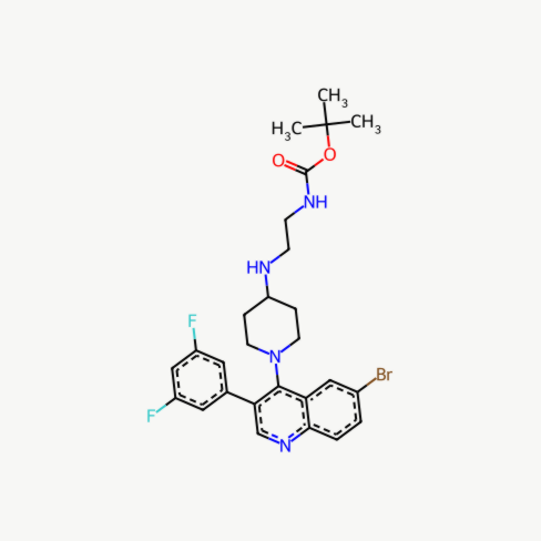 CC(C)(C)OC(=O)NCCNC1CCN(c2c(-c3cc(F)cc(F)c3)cnc3ccc(Br)cc23)CC1